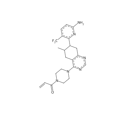 C=CC(=O)N1CCN(c2ncnc3c2CC(C)C(c2nc(N)ccc2C(F)(F)F)C3)CC1